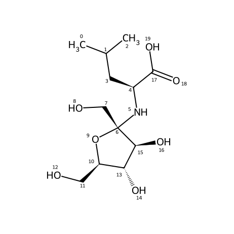 CC(C)C[C@H](N[C@@]1(CO)O[C@H](CO)[C@@H](O)[C@@H]1O)C(=O)O